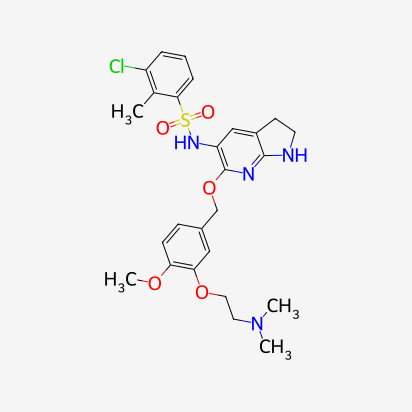 COc1ccc(COc2nc3c(cc2NS(=O)(=O)c2cccc(Cl)c2C)CCN3)cc1OCCN(C)C